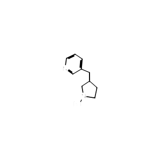 CC(C)(C)N1CCC(Cc2cccnc2)C1